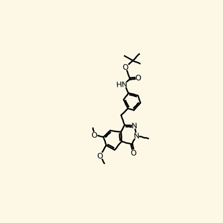 COc1cc2c(Cc3cccc(NC(=O)OC(C)(C)C)c3)nn(C)c(=O)c2cc1OC